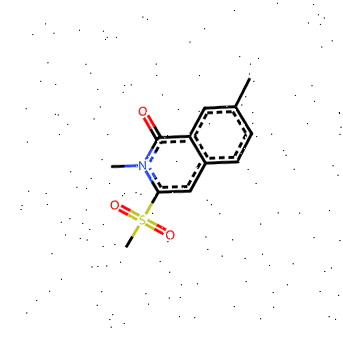 Cc1ccc2cc(S(C)(=O)=O)n(C)c(=O)c2c1